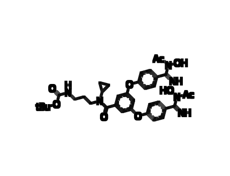 CC(=O)N(O)C(=N)c1ccc(Oc2cc(Oc3ccc(C(=N)N(O)C(C)=O)cc3)cc(C(=O)N(CCCNC(=O)OC(C)(C)C)C3CC3)c2)cc1